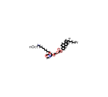 CCCCCCCC/C=C\CCCCCCCCOCC(CN1CCOCC1)OCCOCC(=O)OC1CC[C@@]2(C)C(=CCC3C2CC[C@@]2(C)C3CC[C@@H]2[C@H](C)CCCC(C)C)C1